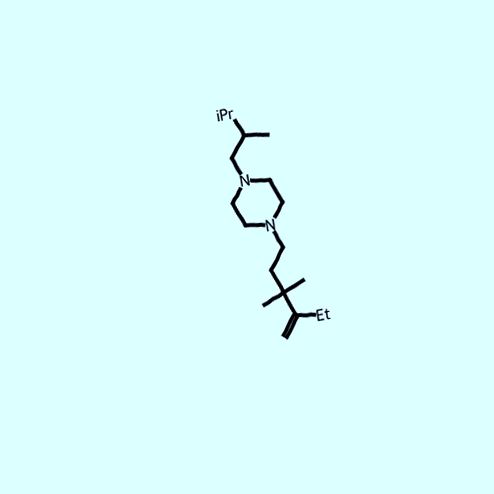 C=C(CC)C(C)(C)CCN1CCN(CC(C)C(C)C)CC1